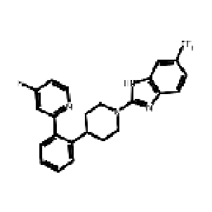 Fc1ccnc(-c2ccccc2C2CCN(c3nc4ccc(C(F)(F)F)cc4[nH]3)CC2)c1